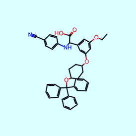 CCOc1cc(OC2CCC(OC(c3ccccc3)(c3ccccc3)c3ccccc3)CC2)cc(C(Nc2ccc(C#N)cc2)C(=O)O)c1